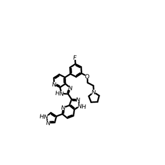 Fc1cc(OCCN2CCCC2)cc(-c2ccnc3[nH]c(-c4n[nH]c5ccc(-c6cn[nH]c6)nc45)nc23)c1